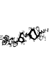 CC(C(N)=O)c1ccc(-n2ccc3cc(C(=O)N4CCN(S(C)(=O)=O)CC4)ccc32)cc1